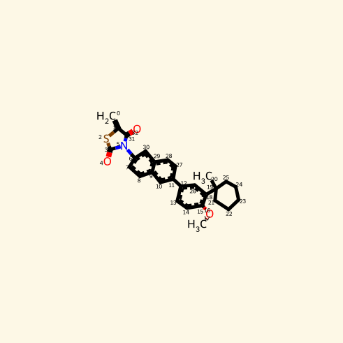 C=C1SC(=O)N(c2ccc3cc(-c4ccc(OC)c(C5(C)CCCCC5)c4)ccc3c2)C1=O